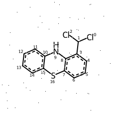 ClC(Cl)c1cccc2c1Nc1ccccc1S2